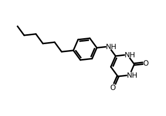 CCCCCCc1ccc(Nc2cc(=O)[nH]c(=O)[nH]2)cc1